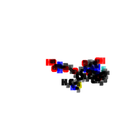 Cc1ncsc1-c1ccc(CNC(=O)[C@@H]2C[C@@H](O)CN2C(=O)C(NC(=O)C2(F)CC2)C(C)(C)C)c(OCCOCCNC(=O)O)c1